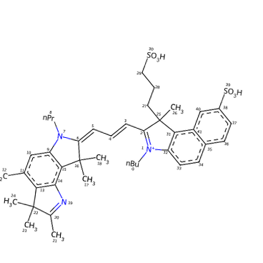 CCCC[N+]1=C(/C=C/C=C2/N(CCC)c3cc(C(=O)O)c4c(c3C2(C)C)N=C(C)C4(C)C)C(C)(CCCS(=O)(=O)O)c2c1ccc1ccc(S(=O)(=O)O)cc21